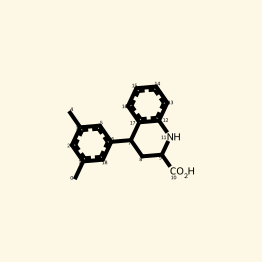 Cc1cc(C)cc(C2CC(C(=O)O)Nc3ccccc32)c1